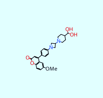 COc1ccc2oc(=O)cc(-c3ccc(N4CC(N5CCC(C(O)O)CC5)C4)cc3)c2c1